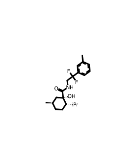 Cc1cccc(C(F)(F)CNC(=O)[C@]2(O)C[C@H](C)CC[C@H]2C(C)C)c1